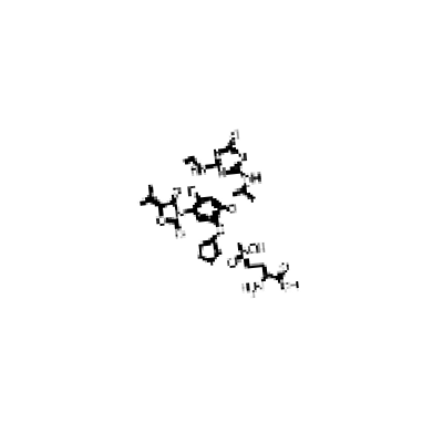 CC(C)=C1OC(=O)N(c2cc(OC3CCCC3)c(Cl)cc2F)C1=O.CCNc1nc(Cl)nc(NC(C)C)n1.CP(=O)(O)CCC(N)C(=O)O